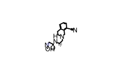 C[C@@H](CN1CCc2cccc(C#N)c2C1)NC(=O)/C=N\O